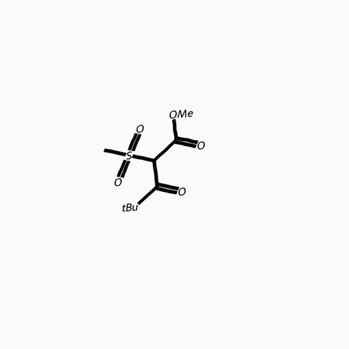 COC(=O)C(C(=O)C(C)(C)C)S(C)(=O)=O